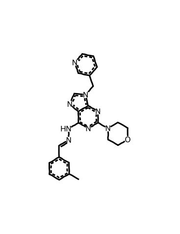 Cc1cccc(/C=N/Nc2nc(N3CCOCC3)nc3c2ncn3Cc2cccnc2)c1